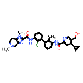 Cc1c(NC(=O)c2cc(C3CC3)c(CO)cn2)cccc1-c1cccc(NC(=O)c2nc3c(n2C)CCN(C)C3)c1Cl